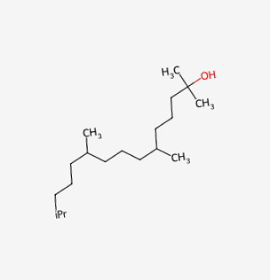 CC(C)CCCC(C)CCCC(C)CCCC(C)(C)O